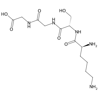 NCCCC[C@H](N)C(=O)N[C@@H](CO)C(=O)NCC(=O)NCC(=O)O